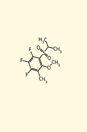 COc1c(C)c(F)c(F)c(F)c1S(=O)(=O)C(C)C